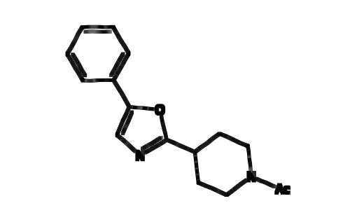 CC(=O)N1CCC(c2ncc(-c3ccccc3)o2)CC1